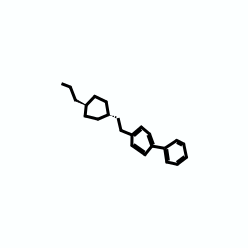 CCC[C@H]1CC[C@H](CCc2ccc(-c3ccccc3)cc2)CC1